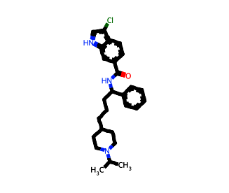 CC(C)N1CCC(CCCC(NC(=O)c2ccc3c(Cl)c[nH]c3c2)c2ccccc2)CC1